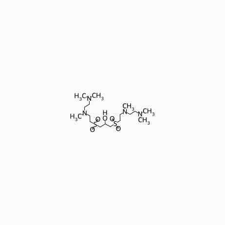 CN(C)CCN(C)CCS(=O)(=O)CC(O)CS(=O)(=O)CCN(C)CCN(C)C